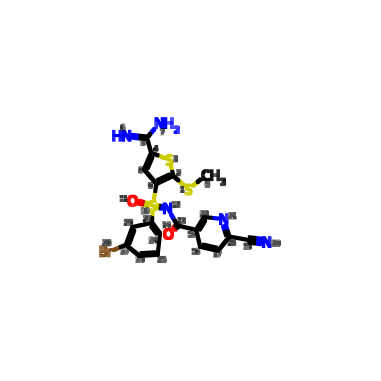 CSc1sc(C(=N)N)cc1S(=O)(=NC(=O)c1ccc(C#N)nc1)c1cccc(Br)c1